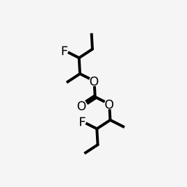 CCC(F)C(C)OC(=O)OC(C)C(F)CC